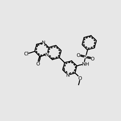 COc1ncc(-c2ccc3ncc(Cl)c(=O)n3c2)cc1NS(=O)(=O)c1ccccc1